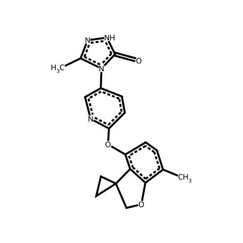 Cc1ccc(Oc2ccc(-n3c(C)n[nH]c3=O)cn2)c2c1OCC21CC1